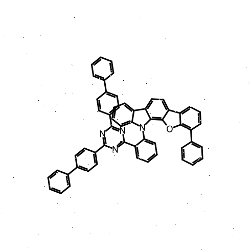 c1ccc(-c2ccc(-c3nc(-c4ccc(-c5ccccc5)cc4)nc(-c4ccccc4-n4c5ccccc5c5ccc6c7cccc(-c8ccccc8)c7oc6c54)n3)cc2)cc1